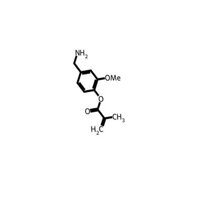 C=C(C)C(=O)Oc1ccc(CN)cc1OC